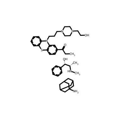 CCC(=O)c1ccc2c(c1)N(CCCN1CCN(CCO)CC1)c1ccccc1S2.CN[C@@H](C)[C@@H](O)c1ccccc1.NC12CC3CC(CC(C3)C1)C2